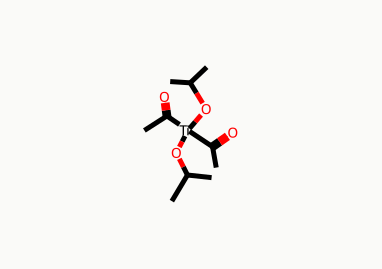 C[C](=O)[Ti]([O]C(C)C)([O]C(C)C)[C](C)=O